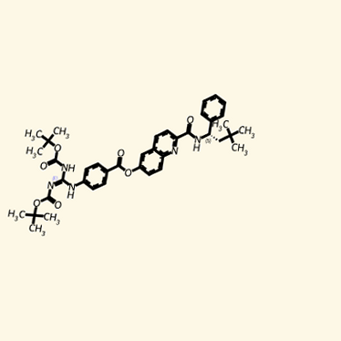 CC(C)(C)C[C@H](NC(=O)c1ccc2cc(OC(=O)c3ccc(N/C(=N\C(=O)OC(C)(C)C)NC(=O)OC(C)(C)C)cc3)ccc2n1)c1ccccc1